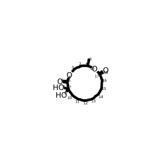 CC1CCOC(=O)C(O)(O)CCCCCCCC(=O)O1